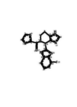 O=C(c1nccs1)N1CCc2[nH]cnc2[C@H]1c1nc2cccc(F)c2s1